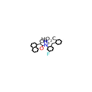 CC(C(=O)Nc1cc(F)ccc1Cc1ccccc1C(=O)O)c1cccc2ccccc12